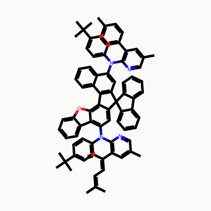 C=C/C(=C\C=C(C)C)c1cc(C)cnc1N(c1ccc(C(C)(C)C)cc1)c1cc2c(c3oc4ccccc4c13)-c1c(cc(N(c3ccc(C(C)(C)C)cc3)c3ncc(C)cc3-c3ccc(C)cc3)c3ccccc13)C21c2ccccc2-c2ccccc21